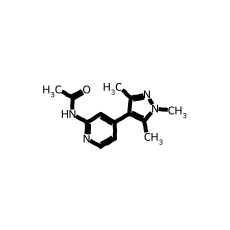 CC(=O)Nc1cc(-c2c(C)nn(C)c2C)ccn1